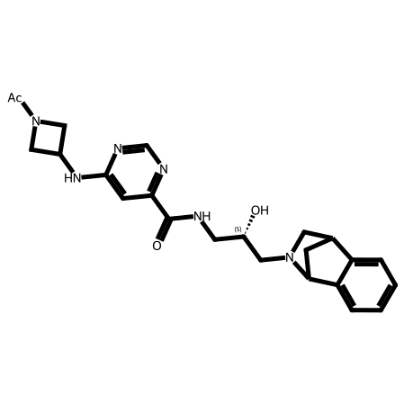 CC(=O)N1CC(Nc2cc(C(=O)NC[C@H](O)CN3CC4CC3c3ccccc34)ncn2)C1